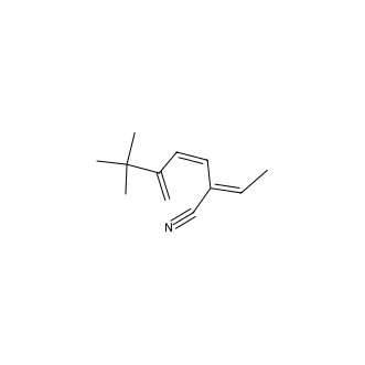 C=C(/C=C\C(C#N)=C/C)C(C)(C)C